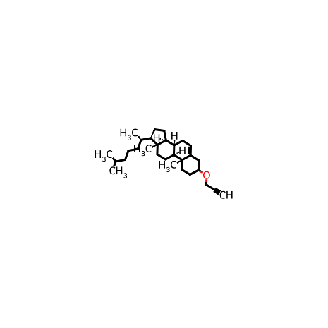 C#CCOC1CC[C@@]2(C)C(=CC[C@H]3[C@@H]4CC[C@H]([C@H](C)CCCC(C)C)[C@@]4(C)CC[C@@H]32)C1